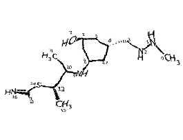 CNNC[C@H]1C[C@H](O)[C@H](NC(C)[C@@H](C)SC=N)C1